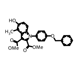 COC(=O)c1c(C(=O)OC)n(-c2ccc(OCc3ccccc3)cc2)c2ccc(O)c(C)c12